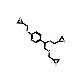 c1cc(C(COCC2CO2)OCC2CO2)ccc1OCC1CO1